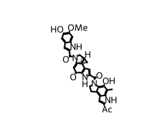 COc1cc2[nH]c(C(=O)N3C[C@H]4C[C@@]45C3=CC(=O)c3[nH]c(C(=O)N4CCc6c4c(O)c(C)c4[nH]c(C(C)=O)cc64)cc35)cc2cc1O